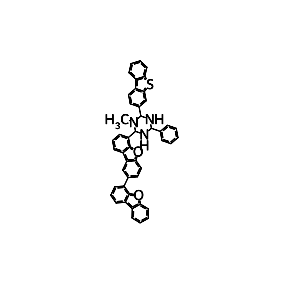 CN1C(c2ccc3c(c2)sc2ccccc23)NC(c2ccccc2)NC1c1cccc2c1oc1ccc(-c3cccc4c3oc3ccccc34)cc12